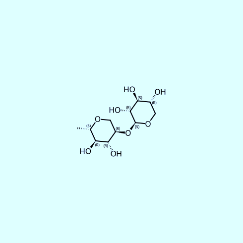 C[C@@H]1OC[C@@H](O[C@@H]2OC[C@@H](O)[C@H](O)[C@H]2O)[C@H](O)[C@H]1O